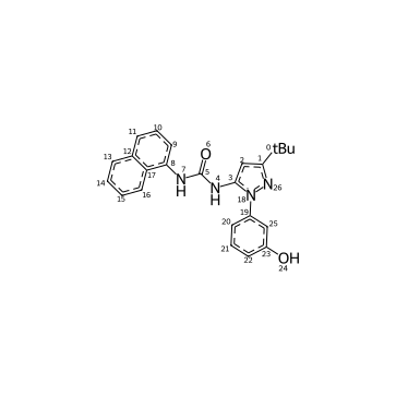 CC(C)(C)c1cc(NC(=O)Nc2cccc3ccccc23)n(-c2cccc(O)c2)n1